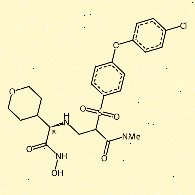 CNC(=O)C(CN[C@@H](C(=O)NO)C1CCOCC1)S(=O)(=O)c1ccc(Oc2ccc(Cl)cc2)cc1